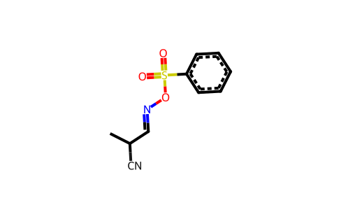 CC(C#N)C=NOS(=O)(=O)c1ccccc1